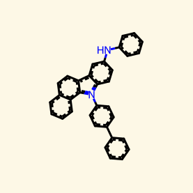 c1ccc(Nc2ccc3c(c2)c2ccc4ccccc4c2n3-c2ccc(-c3ccccc3)cc2)cc1